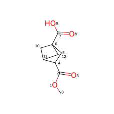 COC(=O)C1CC2(C(=O)O)CC1C2